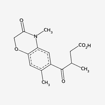 Cc1cc2c(cc1C(=O)C(C)CC(=O)O)N(C)C(=O)CO2